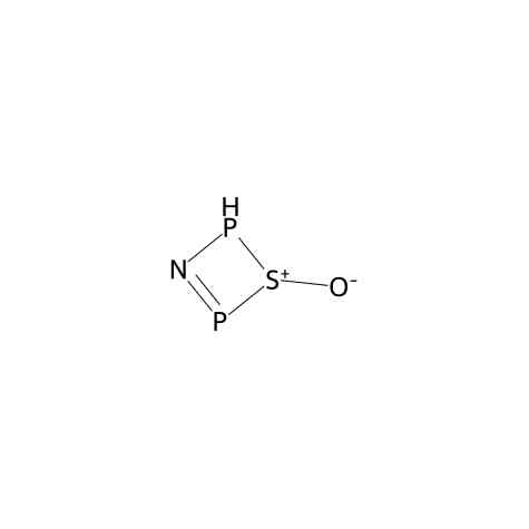 [O-][s+]1pn[pH]1